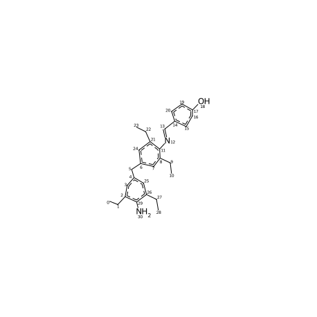 CCc1cc(Cc2cc(CC)c(/N=C/c3ccc(O)cc3)c(CC)c2)cc(CC)c1N